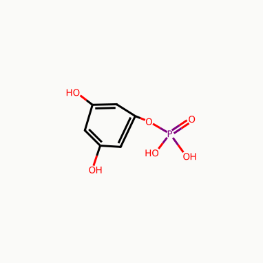 O=P(O)(O)Oc1cc(O)cc(O)c1